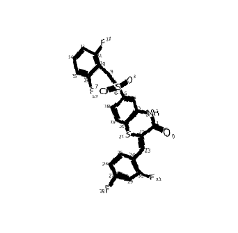 O=C1Nc2cc(S(=O)(=O)Cc3c(F)cccc3F)ccc2SC1=Cc1ccc(F)cc1F